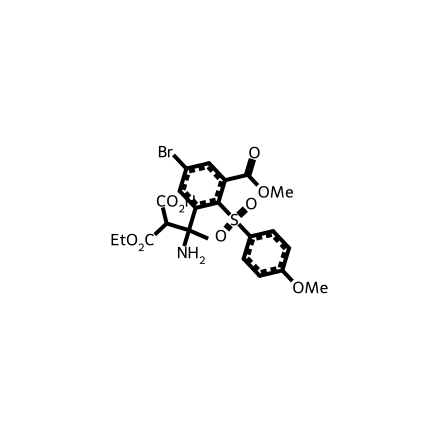 CCOC(=O)C(C(=O)O)C(C)(N)c1cc(Br)cc(C(=O)OC)c1S(=O)(=O)c1ccc(OC)cc1